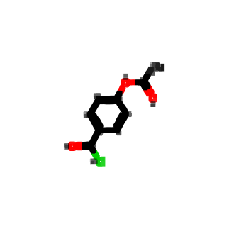 CCC(C)C(=O)Oc1ccc(C(=O)Cl)cc1